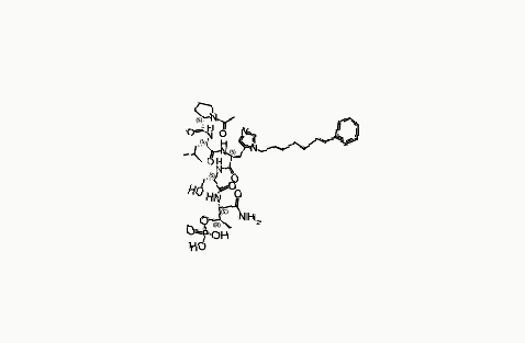 CC(=O)N1CCC[C@H]1C(=O)N[C@@H](CC(C)C)C(=O)N[C@@H](Cc1cncn1CCCCCCCc1ccccc1)C(=O)N[C@@H](CO)C(=O)N[C@H](C(N)=O)[C@@H](C)OP(=O)(O)O